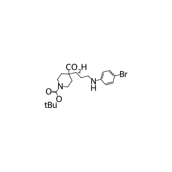 CC(C)(C)OC(=O)N1CCC(CCCNc2ccc(Br)cc2)(C(=O)O)CC1